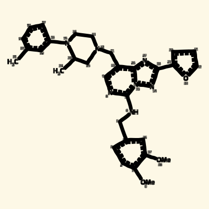 COc1ccc(CNc2ncc(CN3CCN(c4cccc(C)c4)C(C)C3)c3nc(-c4ccco4)nn23)cc1OC